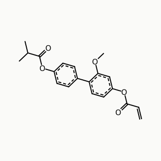 C=CC(=O)Oc1ccc(-c2ccc(OC(=O)C(C)C)cc2)c(OC)c1